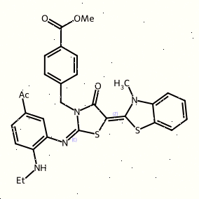 CCNc1ccc(C(C)=O)cc1/N=C1/S/C(=C2\Sc3ccccc3N2C)C(=O)N1Cc1ccc(C(=O)OC)cc1